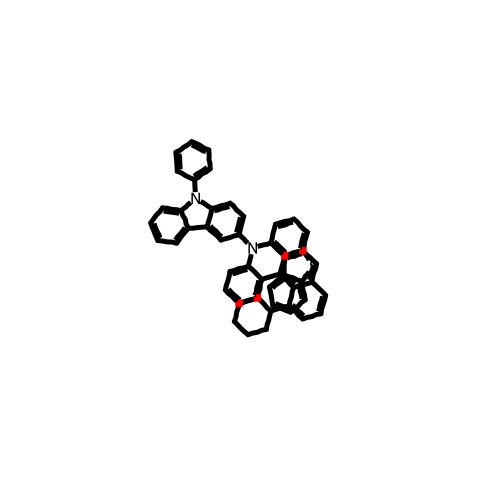 c1ccc(-n2c3ccccc3c3cc(N(c4ccccc4-c4cccc5cccc(C6CCCCC6)c45)c4cccc5sc6ccccc6c45)ccc32)cc1